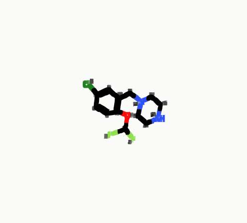 FC(F)Oc1ccc(Cl)cc1CN1CCNCC1